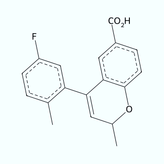 Cc1ccc(F)cc1C1=CC(C)Oc2ccc(C(=O)O)cc21